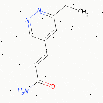 CCc1cc(/C=C/C(N)=O)cnn1